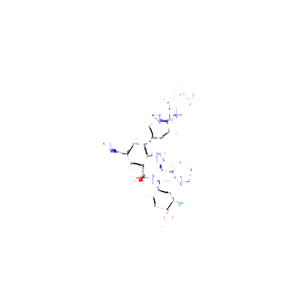 COc1ccc(-n2c(C3CCCN3)nc3c(-c4ccc(N5CCOCC5)nc4)cc(C#N)cc3c2=O)cc1F